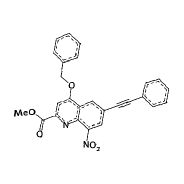 COC(=O)c1cc(OCc2ccccc2)c2cc(C#Cc3ccccc3)cc([N+](=O)[O-])c2n1